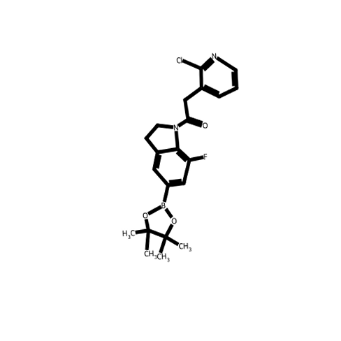 CC1(C)OB(c2cc(F)c3c(c2)CCN3C(=O)Cc2cccnc2Cl)OC1(C)C